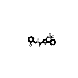 O=C(NCc1ccccc1Cl)c1cc2c(s1)-c1ccccc1S(=O)(=O)C2